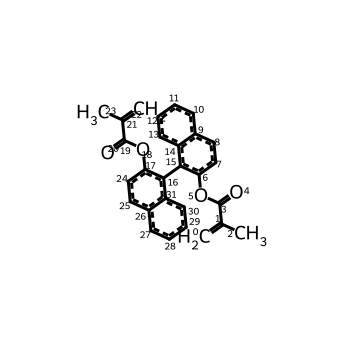 C=C(C)C(=O)Oc1ccc2ccccc2c1-c1c(OC(=O)C(=C)C)ccc2ccccc12